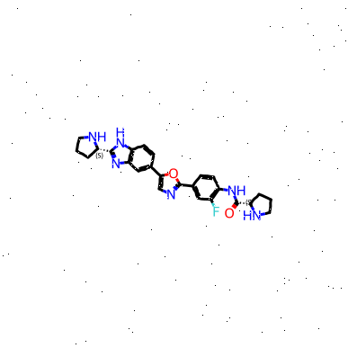 O=C(Nc1ccc(-c2ncc(-c3ccc4[nH]c([C@@H]5CCCN5)nc4c3)o2)cc1F)[C@@H]1CCCN1